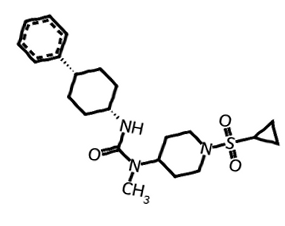 CN(C(=O)N[C@H]1CC[C@@H](c2ccccc2)CC1)C1CCN(S(=O)(=O)C2CC2)CC1